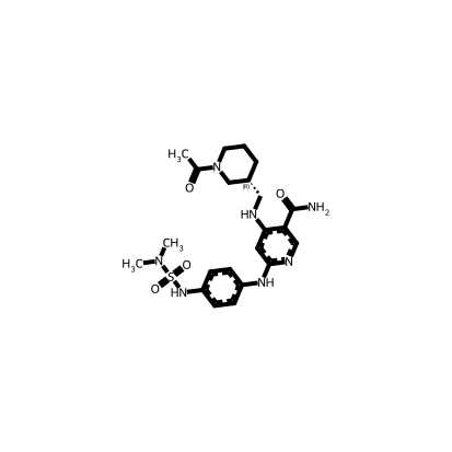 CC(=O)N1CCC[C@H](CNc2cc(Nc3ccc(NS(=O)(=O)N(C)C)cc3)ncc2C(N)=O)C1